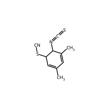 CC1=CC(SC#N)C(N=C=S)C(C)=C1